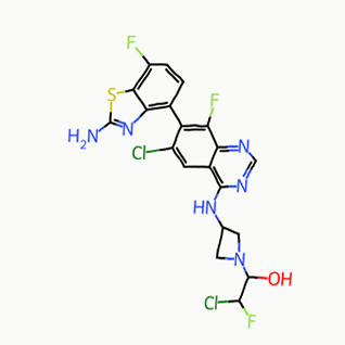 Nc1nc2c(-c3c(Cl)cc4c(NC5CN(C(O)C(F)Cl)C5)ncnc4c3F)ccc(F)c2s1